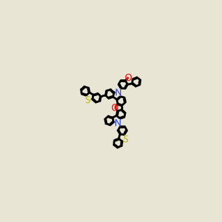 c1ccc2c(c1)oc1ccc(-n3c4ccc(-c5ccc6sc7ccccc7c6c5)cc4c4c5oc6c(ccc7c6c6ccccc6n7-c6ccc7sc8ccccc8c7c6)c5ccc43)cc12